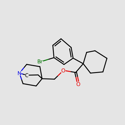 O=C(OCC12CCN(CC1)CC2)C1(c2cccc(Br)c2)CCCCC1